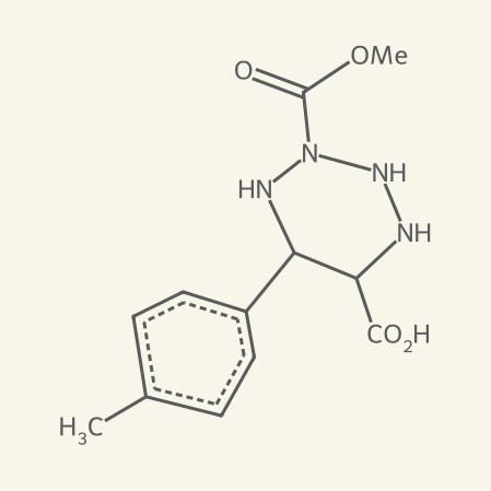 COC(=O)N1NNC(C(=O)O)C(c2ccc(C)cc2)N1